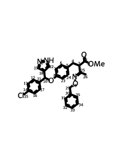 COC(=O)C(Cc1ccc(OC(c2ccc(Cl)cc2)c2cn[nH]c2)cc1)C(C)=NOCc1ccccc1